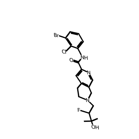 CC(C)(O)C(F)CN1CCc2cc(C(=O)Nc3cccc(Br)c3Cl)ncc2C1